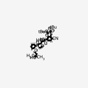 CC(C)(O)CCOc1ccccc1N1CCO[C@H]([C@@H](O)C(=O)Nc2ccc(C#N)c(CN(C(=O)OC(C)(C)C)C(=O)OC(C)(C)C)c2)C1=O